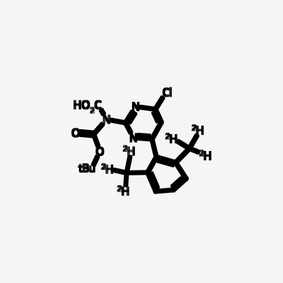 [2H]C([2H])([2H])c1cccc(C([2H])([2H])[2H])c1-c1cc(Cl)nc(N(C(=O)O)C(=O)OC(C)(C)C)n1